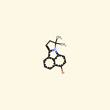 CC1(C)CC=c2c3cccc4c(Br)ccc(c43)n21